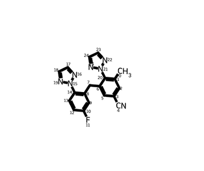 Cc1cc(C#N)cc(Cc2cc(F)ccc2-n2nccn2)c1-n1nccn1